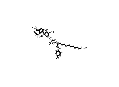 C#C[C@@]1(c2ccc3c(C)ncnn23)O[C@H](COP(=O)(O)OC[C@@H](COCCCCCCCCCCCCCCCCCC)OCc2cnc(C(F)(F)F)nc2)[C@@H](O)[C@H]1O